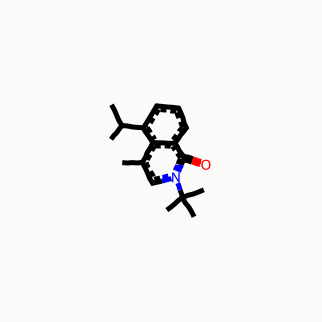 Cc1cn(C(C)(C)C)c(=O)c2cccc(C(C)C)c12